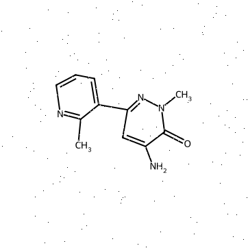 Cc1ncccc1-c1cc(N)c(=O)n(C)n1